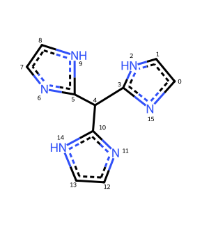 c1c[nH]c(C(c2ncc[nH]2)c2ncc[nH]2)n1